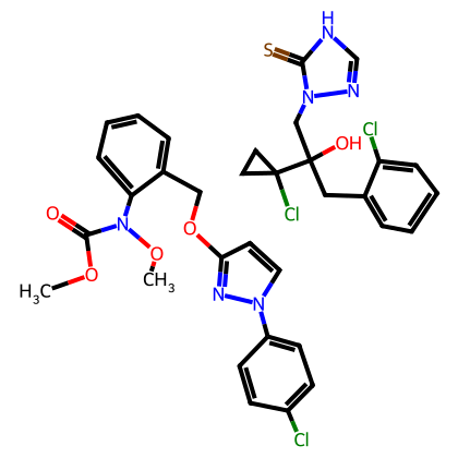 COC(=O)N(OC)c1ccccc1COc1ccn(-c2ccc(Cl)cc2)n1.OC(Cc1ccccc1Cl)(Cn1nc[nH]c1=S)C1(Cl)CC1